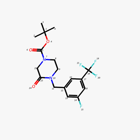 CC(C)(C)OC(=O)N1CCN(Cc2cc(F)cc(C(F)(F)F)c2)C(=O)C1